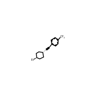 CC[C@H]1CC[C@H](C#Cc2ccc(C(F)(F)F)cc2)CC1